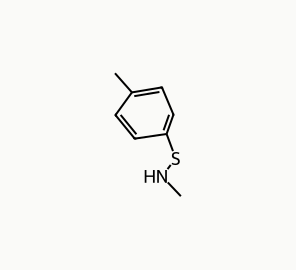 CNSc1ccc(C)cc1